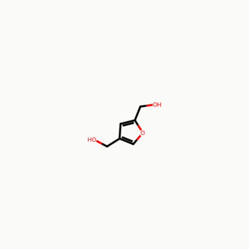 OCc1coc(CO)c1